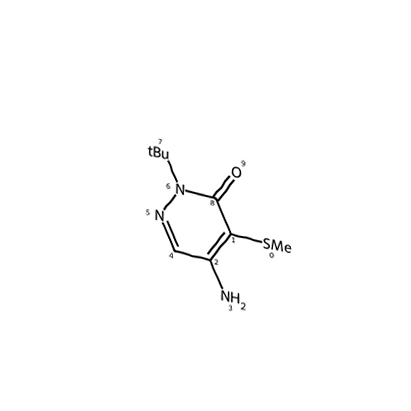 CSc1c(N)cnn(C(C)(C)C)c1=O